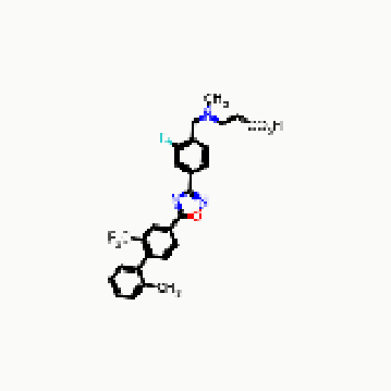 Cc1ccccc1-c1ccc(-c2nc(-c3ccc(CN(C)CCC(=O)O)c(F)c3)no2)cc1C(F)(F)F